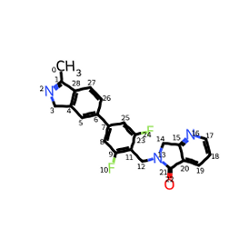 CC1=NCc2cc(-c3cc(F)c(CN4Cc5ncccc5C4=O)c(F)c3)ccc21